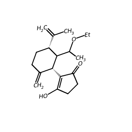 C=C1CC[C@H](C(=C)C)C(C(C)OCC)[C@@H]1C1=C(O)CCC1=O